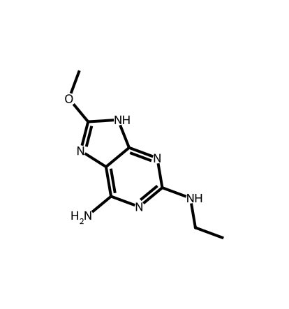 CCNc1nc(N)c2nc(OC)[nH]c2n1